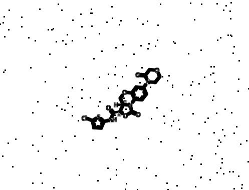 O=C(Nc1ccc(Cl)s1)[C@@H]1OC(=O)N2c3ccc(N4CCOCC4=O)cc3OC[C@@H]12